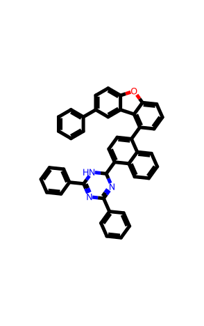 c1ccc(C2=NC(c3ccc(-c4cccc5oc6ccc(-c7ccccc7)cc6c45)c4ccccc34)NC(c3ccccc3)=N2)cc1